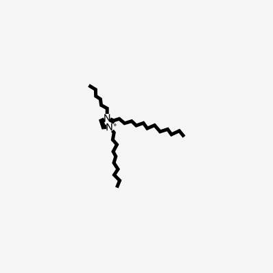 CCCCCCCCCCCCc1n(CCCCCC)cc[n+]1CCCCCCCCCC